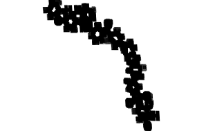 Nc1ncnc2c1c(-c1ccc(Oc3ccccc3)cc1)nn2C1CCCN(C(=O)c2ccc(N3CCC(CN4CCN(c5ccc6c(c5)C(=O)N(C5CCC(=O)NC5=O)C6=O)CC4)CC3)cc2)C1